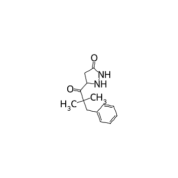 CC(C)(Cc1ccccc1)C(=O)C1CC(=O)NN1